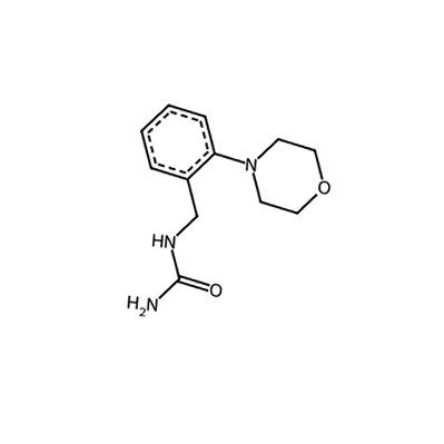 NC(=O)NCc1ccccc1N1CCOCC1